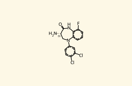 N[C@H]1CN(c2ccc(Cl)c(Cl)c2)c2cccc(F)c2NC1=O